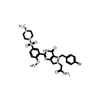 CCCOc1ccc(S(=O)(=O)N2CCN(C)CC2)cc1-c1nc2c(c(=O)[nH]1)N(Cc1ccc(Br)cc1)N(CC(N)=O)C2